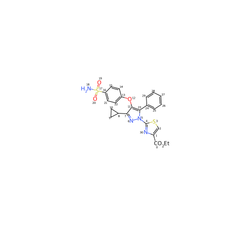 CCOC(=O)c1csc(-n2nc(C3CC3)c(Oc3ccc(S(N)(=O)=O)cc3)c2-c2ccccc2)n1